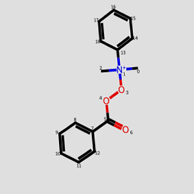 C[N+](C)(OOC(=O)c1ccccc1)c1ccccc1